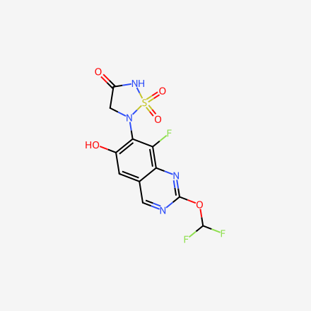 O=C1CN(c2c(O)cc3cnc(OC(F)F)nc3c2F)S(=O)(=O)N1